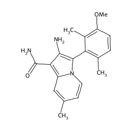 COc1ccc(C)c(-c2c(N)c(C(N)=O)c3cc(C)ccn23)c1C